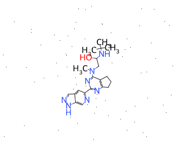 CN(CC(O)NC(C)(C)C)c1nc(-c2cc3cn[nH]c3cn2)nc2c1CCC2